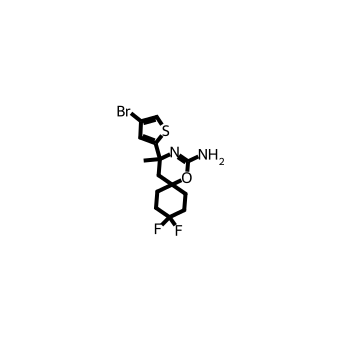 CC1(c2cc(Br)cs2)CC2(CCC(F)(F)CC2)OC(N)=N1